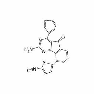 [C-]#[N+]c1ccc(-c2cccc3c2-c2nc(N)nc(-c4ccccc4)c2C3=O)s1